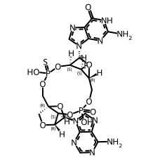 Nc1nc2c(ncn2[C@@H]2O[C@@H]3COP(=O)(O)O[C@H]4[C@H]5OC[C@]4(COP(O)(=S)O[C@@H]2[C@H]3F)O[C@H]5n2cnc3c(N)ncnc32)c(=O)[nH]1